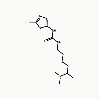 CC(CSCCNC(=O)Nc1nnc(S)s1)N(C)C